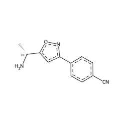 C[C@@H](N)c1cc(-c2ccc(C#N)cc2)no1